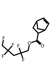 O=C(OCC(F)(F)CC(F)(F)CF)C1CC2C=CC1C2